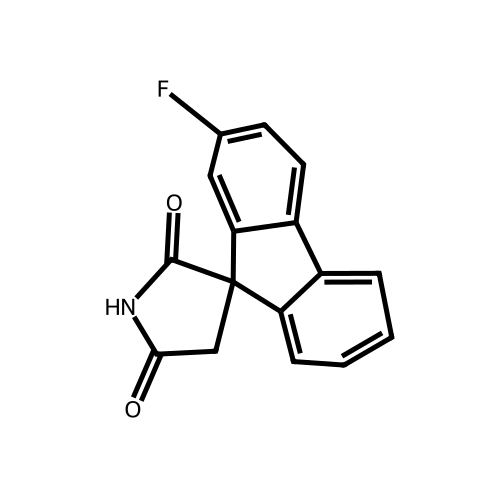 O=C1CC2(C(=O)N1)c1ccccc1-c1ccc(F)cc12